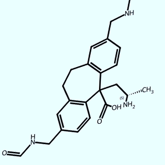 C[C@H](N)CC1(C(=O)O)c2ccc(CNC=O)cc2CCc2cc(CNC=O)ccc21